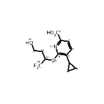 O=C(O)c1ccc(C2CC2)c(OC(CCO)C(F)(F)F)n1